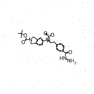 CC(C)(C)OC(=O)N1Cc2ccc(N(CCc3ccc(C(=O)NN)cc3)[SH](=O)=O)cc2C1